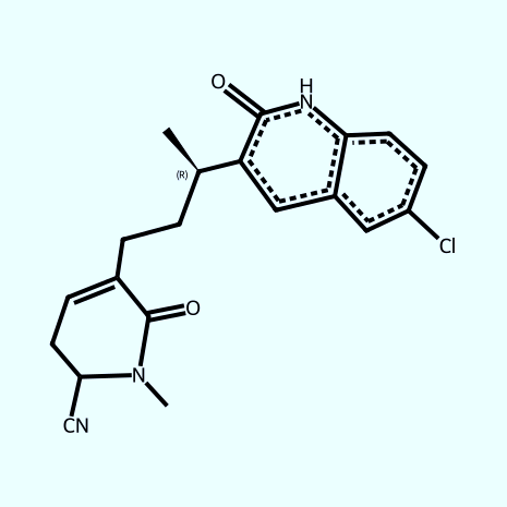 C[C@H](CCC1=CCC(C#N)N(C)C1=O)c1cc2cc(Cl)ccc2[nH]c1=O